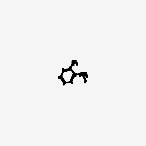 C[SiH2]c1ccccc1C(F)(F)F